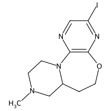 CN1CCN2c3ncc(I)nc3OCCC2C1